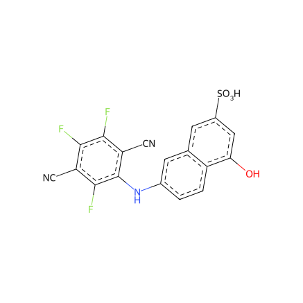 N#Cc1c(F)c(F)c(C#N)c(Nc2ccc3c(O)cc(S(=O)(=O)O)cc3c2)c1F